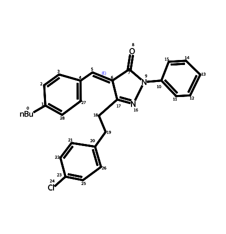 CCCCc1ccc(/C=C2/C(=O)N(c3ccccc3)N=C2CCc2ccc(Cl)cc2)cc1